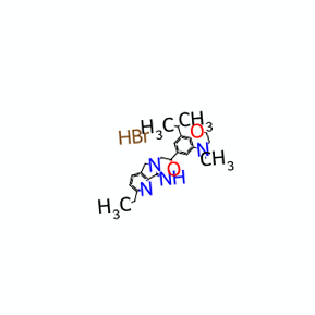 Br.CCc1ccc2c(n1)C(=N)N(CC(=O)c1cc(C(C)C)c3c(c1)N(C)CCO3)C2